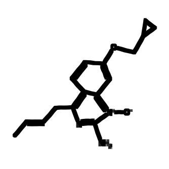 CC=CCc1nc(N)[n+]([O-])c2cc(OCC3CC3)ccc12